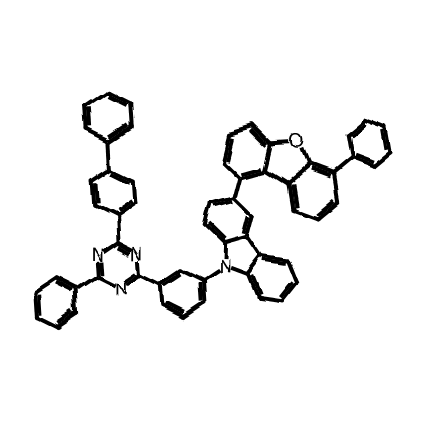 c1ccc(-c2ccc(-c3nc(-c4ccccc4)nc(-c4cccc(-n5c6ccccc6c6cc(-c7cccc8oc9c(-c%10ccccc%10)cccc9c78)ccc65)c4)n3)cc2)cc1